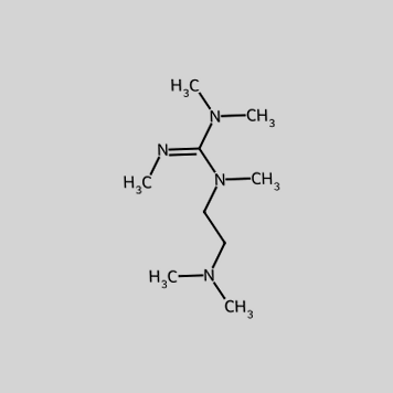 CN=C(N(C)C)N(C)CCN(C)C